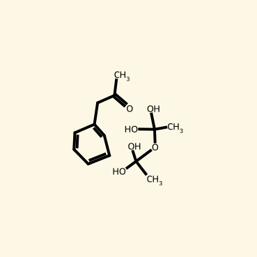 CC(=O)Cc1ccccc1.CC(O)(O)OC(C)(O)O